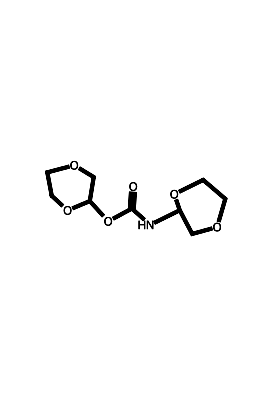 O=C(NC1COCCO1)OC1COCCO1